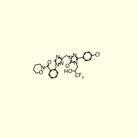 O=C(c1ccccc1-n1cnc(Cn2nc(-c3ccc(Cl)cc3)n(CC(O)C(F)(F)F)c2=O)n1)N1CCCCO1